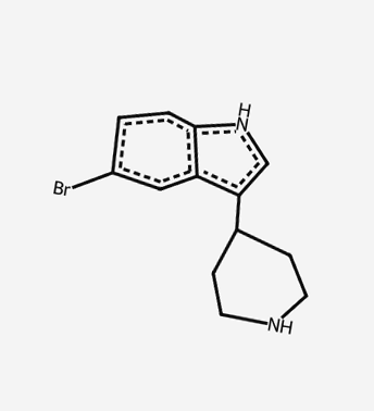 Brc1ccc2[nH]cc(C3CCNCC3)c2c1